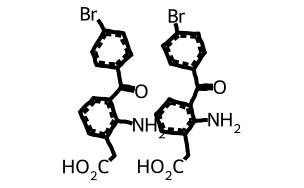 Nc1c(CC(=O)O)cccc1C(=O)c1ccc(Br)cc1.Nc1c(CC(=O)O)cccc1C(=O)c1ccc(Br)cc1